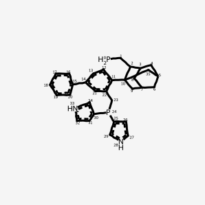 PCC1C2CC3CC(C2)CC1(c1ccc(-c2ccccc2)cc1CP(c1cc[nH]c1)c1cc[nH]c1)C3